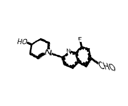 O=Cc1cc(F)c2nc(N3CCC(O)CC3)ccc2c1